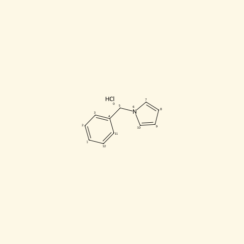 Cl.c1ccc(Cn2cccc2)cc1